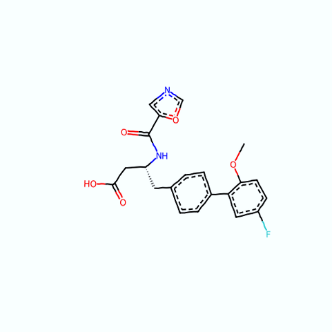 COc1ccc(F)cc1-c1ccc(C[C@H](CC(=O)O)NC(=O)c2cnco2)cc1